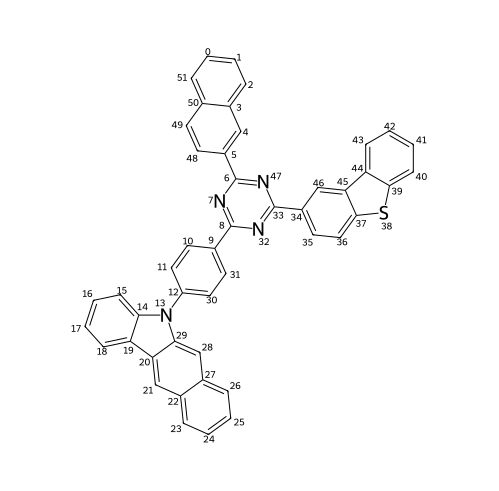 c1ccc2cc(-c3nc(-c4ccc(-n5c6ccccc6c6cc7ccccc7cc65)cc4)nc(-c4ccc5sc6ccccc6c5c4)n3)ccc2c1